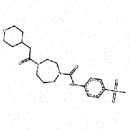 CS(=O)(=O)c1ccc(NC(=O)N2CCCN(C(=O)CC3CCOCC3)CC2)cc1